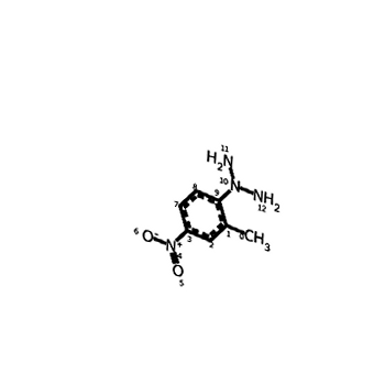 Cc1cc([N+](=O)[O-])ccc1N(N)N